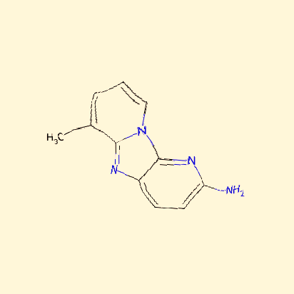 Cc1cccn2c1nc1ccc(N)nc12